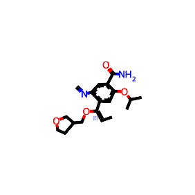 C=Nc1cc(C(N)=O)c(OC(C)C)cc1/C(=C\C)OCC1CCOC1